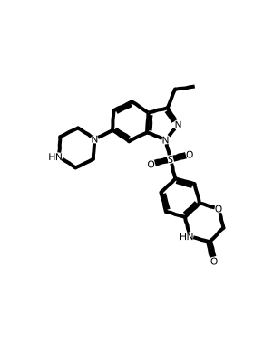 CCc1nn(S(=O)(=O)c2ccc3c(c2)OCC(=O)N3)c2cc(N3CCNCC3)ccc12